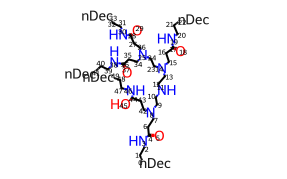 CCCCCCCCCCCCNC(=O)CCN(CCNCCN(CCC(=O)NCCCCCCCCCCCC)CCN(CCC(=O)NCCCCCCCCCCCC)CCC(=O)NCCCCCCCCCCCC)CCC(O)NCCCCCCCCCCCC